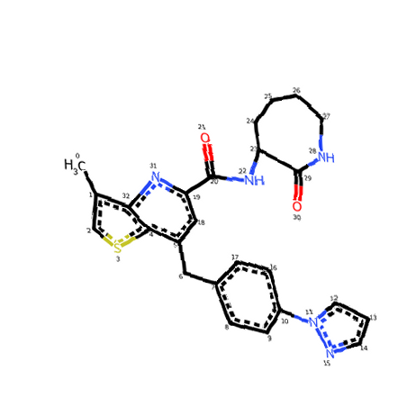 Cc1csc2c(Cc3ccc(-n4cccn4)cc3)cc(C(=O)NC3CCCCNC3=O)nc12